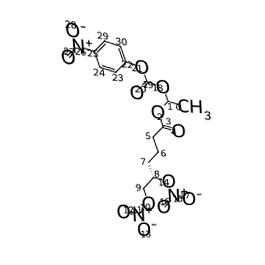 CC(OC(=O)CCC[C@@H](CO[N+](=O)[O-])O[N+](=O)[O-])OC(=O)Oc1ccc([N+](=O)[O-])cc1